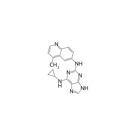 Cc1ccnc2ccc(Nc3nc(NC4CC4)c4nc[nH]c4n3)cc12